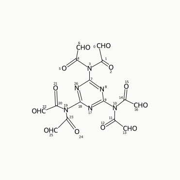 O=CC(=O)N(C(=O)C=O)c1nc(N(C(=O)C=O)C(=O)C=O)nc(N(C(=O)C=O)C(=O)C=O)n1